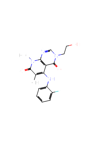 Cc1c(Nc2ccccc2F)c2c(=O)n(CCO)cnc2n(C)c1=O